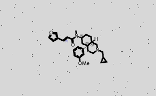 COc1cccc([C@@]23CCN(CC4CC4)C[C@H]2CC[C@H](N(C)C(=O)/C=C/c2ccoc2)C3)c1